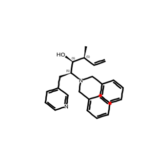 C=C[C@H](C)[C@H](O)[C@H](Cc1cccnc1)N(Cc1ccccc1)Cc1ccccc1